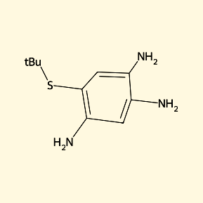 CC(C)(C)Sc1cc(N)c(N)cc1N